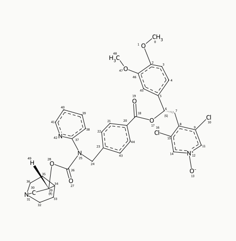 COc1ccc([C@H](Cc2c(Cl)c[n+]([O-])cc2Cl)OC(=O)c2ccc(CN(C(=O)O[C@H]3CN4CCC3CC4)c3ccccn3)cc2)cc1OC